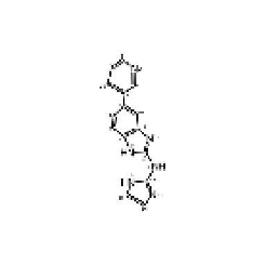 c1cncc(-c2ccc3[nH]c(Nc4ncc[nH]4)nc3c2)c1